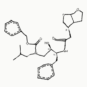 CC(C)CN(C[C@@H](O)[C@H](Cc1ccccc1)NC(=O)C[C@H]1COC2OCCC21)C(=O)OCc1ccccc1